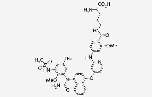 COc1cc(Nc2cc(Oc3ccc(N(C(N)=O)c4cc(C(C)(C)C)cc(NS(C)(=O)=O)c4OC)c4ccccc34)ccn2)ccc1C(=O)NCCC[C@H](N)C(=O)O